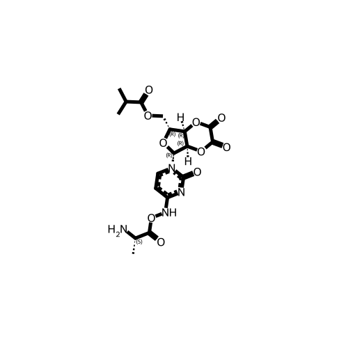 CC(C)C(=O)OC[C@H]1O[C@@H](n2ccc(NOC(=O)[C@H](C)N)nc2=O)[C@@H]2OC(=O)C(=O)O[C@@H]21